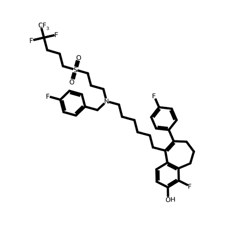 O=S(=O)(CCCN(CCCCCCC1=C(c2ccc(F)cc2)CCCc2c1ccc(O)c2F)Cc1ccc(F)cc1)CCCC(F)(F)C(F)(F)F